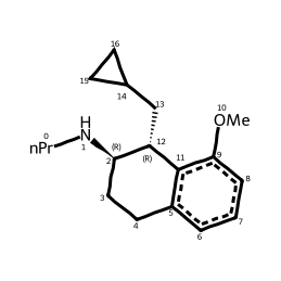 CCCN[C@@H]1CCc2cccc(OC)c2[C@H]1CC1CC1